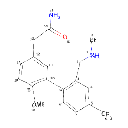 CCNCc1cc(C(F)(F)F)ccc1-c1cc(CC(N)=O)ccc1OC